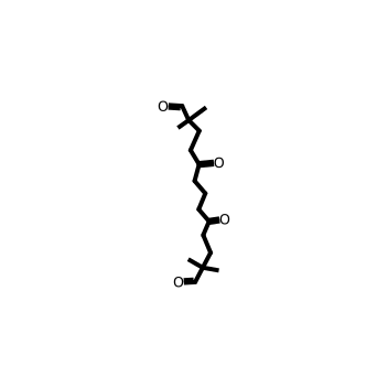 CC(C)(C=O)CCC(=O)CCCC(=O)CCC(C)(C)C=O